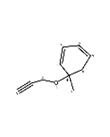 C#CCOC1(C)C=CC=CC1